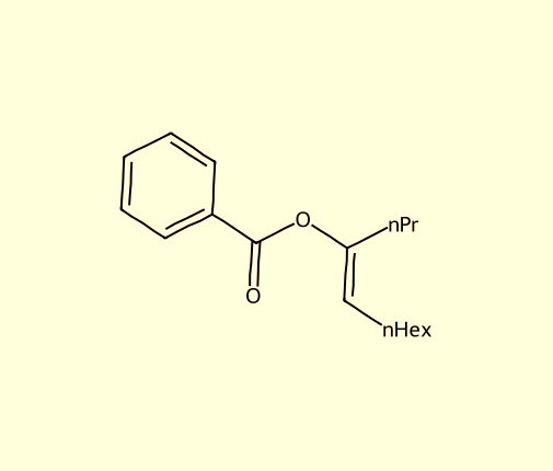 CCCCCCC=C(CCC)OC(=O)c1ccccc1